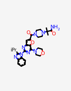 CC(C)c1nc2ccccc2n1-c1nc(N2CCOCC2)c2oc(C(=O)N3CCN(C(C)(C)C(N)=O)CC3)cc2n1